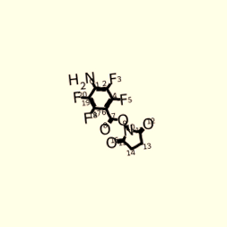 Nc1c(F)c(F)c(C(=O)ON2C(=O)CCC2=O)c(F)c1F